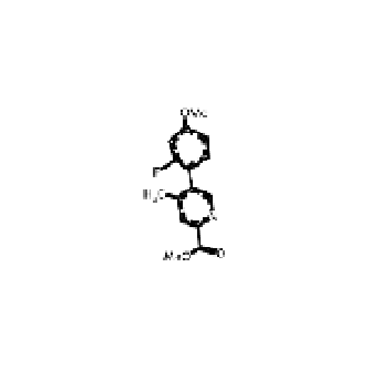 COC(=O)c1cc(C)c(-c2ccc(OC)cc2F)cn1